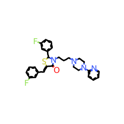 O=C1/C(=C/c2cccc(F)c2)SC(c2cccc(F)c2)N1CCCN1CCN(c2ccccn2)CC1